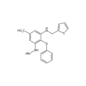 CCCCNc1cc(C(=O)O)cc(NCc2cccs2)c1Oc1ccccc1